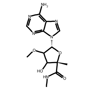 CNC(=O)[C@@]1(C)O[C@@H](n2cnc3c(N)ncnc32)C(OC)C1O